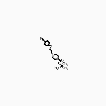 CC(C)(C)OC(=O)N1CCN(CCCOc2ccc(C#N)cc2)CC1